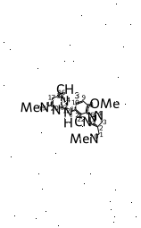 CNCc1cnn(-c2c(OC)ccc(Nc3nc(C)cc(NC)n3)c2C#N)c1